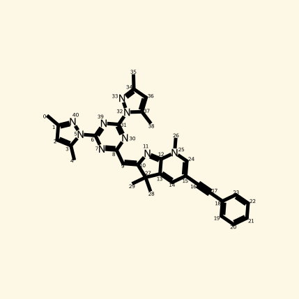 Cc1cc(C)n(-c2nc(/C=C3\N=C4C(=CC(C#Cc5ccccc5)=CN4C)C3(C)C)nc(-n3nc(C)cc3C)n2)n1